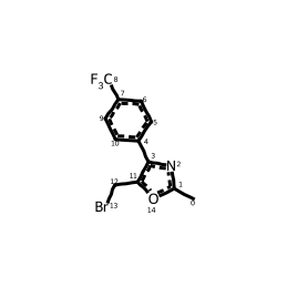 Cc1nc(-c2ccc(C(F)(F)F)cc2)c(CBr)o1